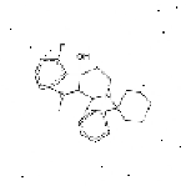 CC1C(N(C)C)C(O)(c2ccccc2F)CCN1C1(c2ccccc2)CCCCC1